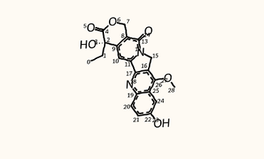 CC[C@@]1(O)C(=O)OCc2c1cc1n(c2=O)Cc2c-1nc1ccc(O)cc1c2OC